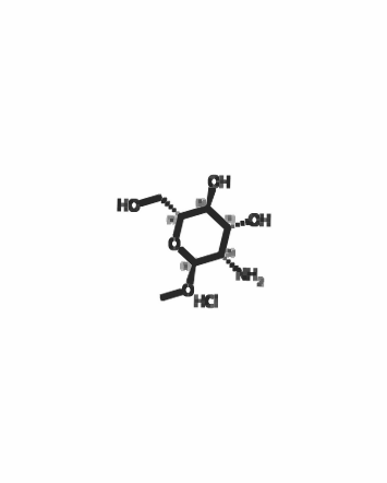 CO[C@H]1O[C@H](CO)[C@@H](O)[C@H](O)[C@@H]1N.Cl